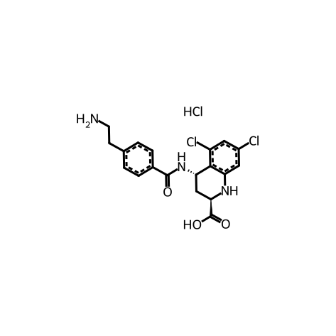 Cl.NCCc1ccc(C(=O)N[C@H]2C[C@H](C(=O)O)Nc3cc(Cl)cc(Cl)c32)cc1